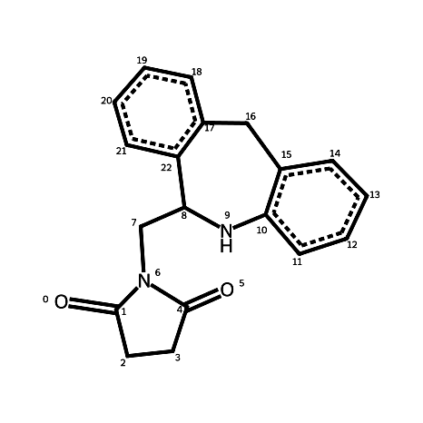 O=C1CCC(=O)N1CC1Nc2ccccc2Cc2ccccc21